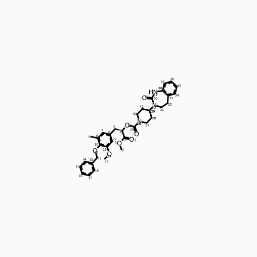 COC(=O)[C@@H](Cc1cc(C)c(OCc2ccccc2)c(OC)c1)OC(=O)N1CCC(N2CCc3ccccc3NC2=O)CC1